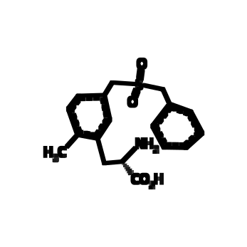 Cc1ccc(CS(=O)(=O)Cc2ccccc2)cc1C[C@H](N)C(=O)O